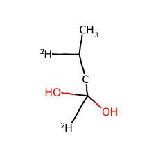 [2H]C(C)CC([2H])(O)O